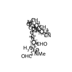 CNC(=O)C(CCC=O)N(C)Cc1ccc(N2CC(OC(C)CN(c3ccc(C4(C#N)CC4)cc3)c3cc(-c4c(C)noc4C)ccc3C)C2)cc1C=O